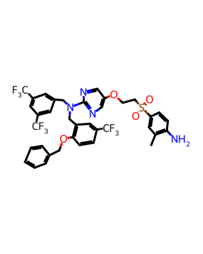 Cc1cc(S(=O)(=O)CCOc2cnc(N(Cc3cc(C(F)(F)F)cc(C(F)(F)F)c3)Cc3cc(C(F)(F)F)ccc3OCc3ccccc3)nc2)ccc1N